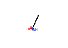 CCCCCCCCCCCCCCCCC1CNCCN1C(=O)O